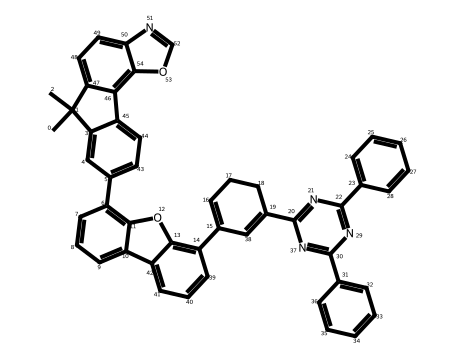 CC1(C)c2cc(-c3cccc4c3oc3c(C5=CCCC(c6nc(-c7ccccc7)nc(-c7ccccc7)n6)=C5)cccc34)ccc2-c2c1ccc1ncoc21